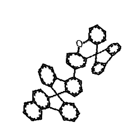 c1ccc2c(c1)Oc1ccc(-c3cccc4c3-c3ccccc3C43c4ccccc4-c4c3ccc3ccccc43)cc1C21c2ccccc2-c2ccccc21